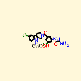 NCC(=O)Nc1cc(Cl)cc(C(=O)N2CCc3c([nH]c4ccc(Cl)cc34)C2)c1.O=CO